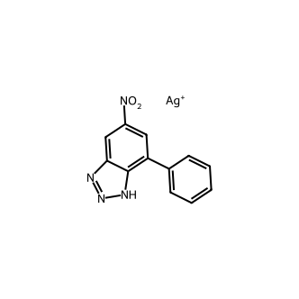 O=[N+]([O-])c1cc(-c2ccccc2)c2[nH]nnc2c1.[Ag+]